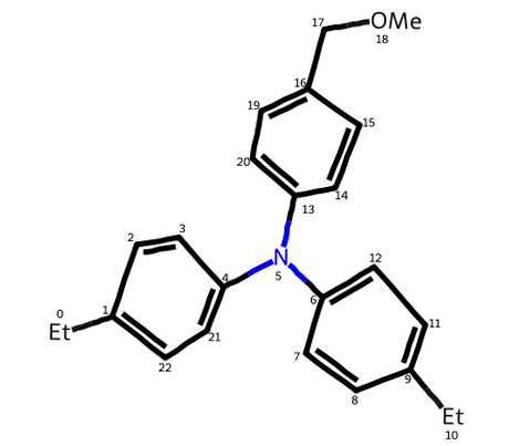 CCc1ccc(N(c2ccc(CC)cc2)c2ccc(COC)cc2)cc1